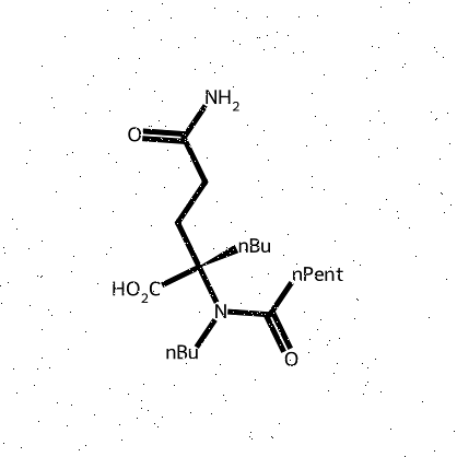 CCCCCC(=O)N(CCCC)[C@@](CCCC)(CCC(N)=O)C(=O)O